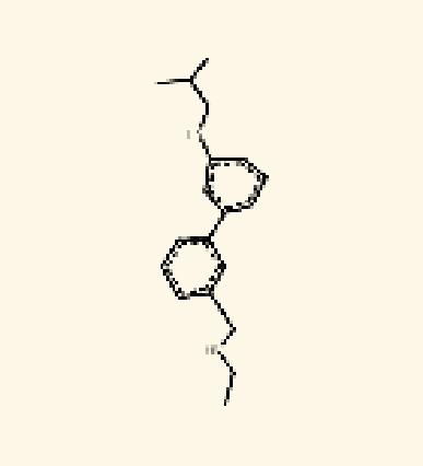 CCNCc1cccc(-c2cccc(NCC(C)C)c2)c1